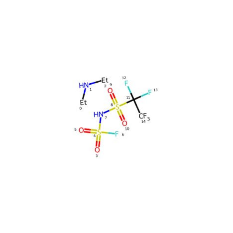 CCNCC.O=S(=O)(F)NS(=O)(=O)C(F)(F)C(F)(F)F